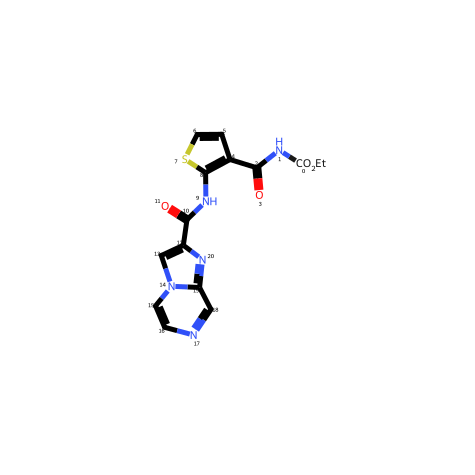 CCOC(=O)NC(=O)c1ccsc1NC(=O)c1cn2ccncc2n1